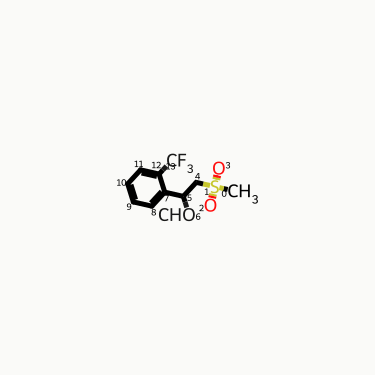 CS(=O)(=O)CC(C=O)c1ccccc1C(F)(F)F